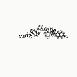 COCC(=O)N(C)C1CCN(C[C@@H]2CCCN2C(=O)CN2CCC[C@H](NS(=O)(=O)c3ccc4cc(Cl)ccc4c3)C2=O)C1